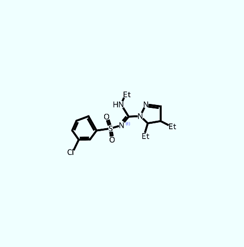 CCN/C(=N\S(=O)(=O)c1cccc(Cl)c1)N1N=CC(CC)C1CC